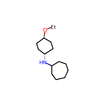 CCO[C@H]1CC[C@H](NC2CCCCCC2)CC1